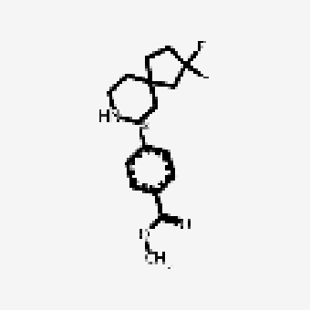 COC(=O)c1ccc([C@@H]2CC3(CCN2)CCC(F)(F)C3)cc1